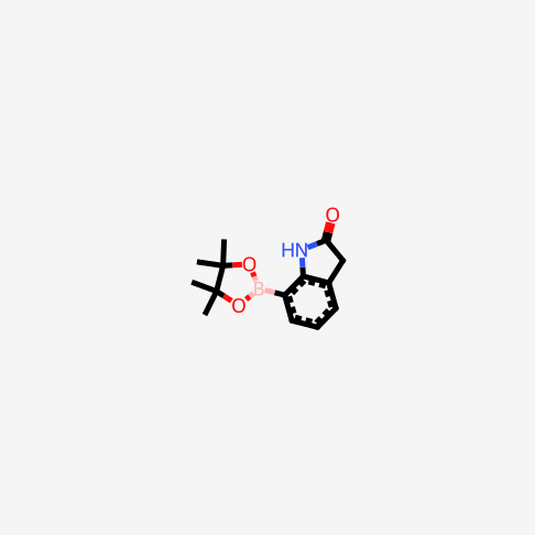 CC1(C)OB(c2cccc3c2NC(=O)C3)OC1(C)C